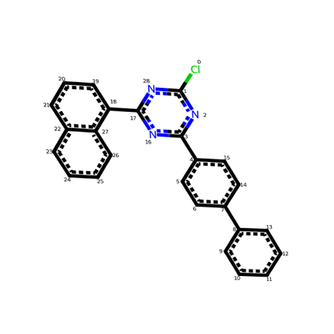 Clc1nc(-c2ccc(-c3ccccc3)cc2)nc(-c2cccc3ccccc23)n1